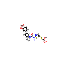 CN(C(=O)Nc1ncc(SCC(=O)O)s1)C1CCC(c2ccc3c(c2)OCO3)C1